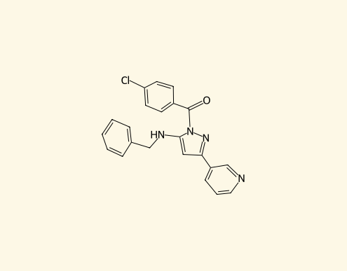 O=C(c1ccc(Cl)cc1)n1nc(-c2cccnc2)cc1NCc1ccccc1